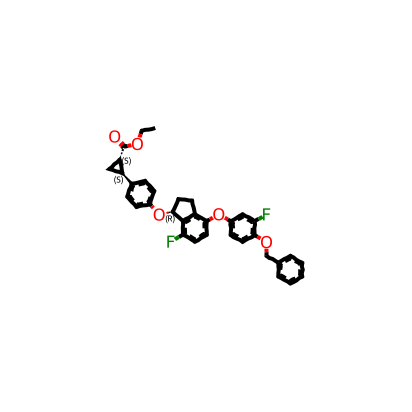 CCOC(=O)[C@H]1C[C@@H]1c1ccc(O[C@@H]2CCc3c(Oc4ccc(OCc5ccccc5)c(F)c4)ccc(F)c32)cc1